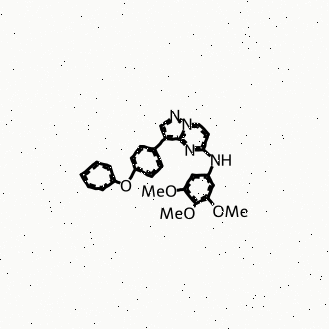 COc1cc(Nc2ccn3ncc(-c4ccc(Oc5ccccc5)cc4)c3n2)cc(OC)c1OC